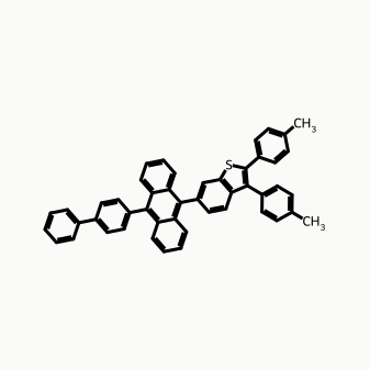 Cc1ccc(-c2sc3cc(-c4c5ccccc5c(-c5ccc(-c6ccccc6)cc5)c5ccccc45)ccc3c2-c2ccc(C)cc2)cc1